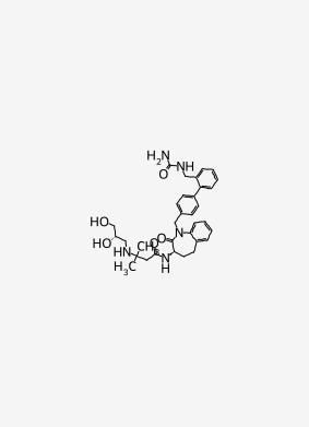 CC(C)(CC(=O)N[C@@H]1CCc2ccccc2N(Cc2ccc(-c3ccccc3CNC(N)=O)cc2)C1=O)NC[C@H](O)CO